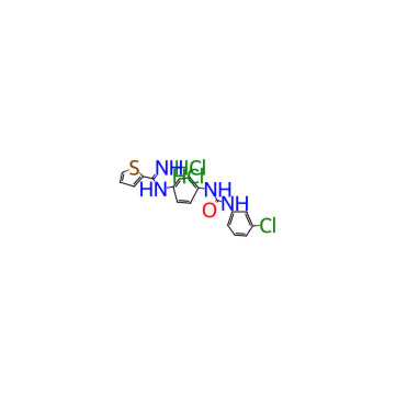 Cl.Cl.N=C(Nc1ccc(NC(=O)Nc2cccc(Cl)c2)cc1)c1cccs1